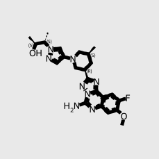 COc1cc2nc(N)n3nc([C@@H]4C[C@H](C)CN(c5cnn([C@@H](C)[C@H](C)O)c5)C4)nc3c2cc1F